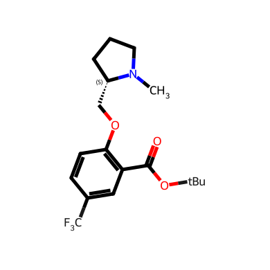 CN1CCC[C@H]1COc1ccc(C(F)(F)F)cc1C(=O)OC(C)(C)C